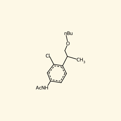 CCCCOCC(C)c1ccc(NC(C)=O)cc1Cl